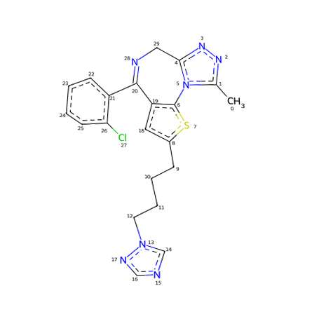 Cc1nnc2n1-c1sc(CCCCn3cncn3)cc1C(c1ccccc1Cl)=NC2